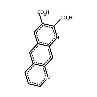 O=C(O)c1cc2cc3cccnc3cc2nc1C(=O)O